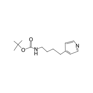 CC(C)(C)OC(=O)NCCCCc1ccncc1